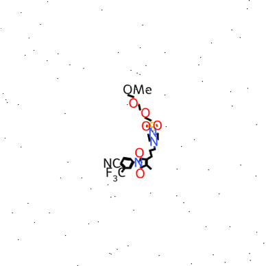 COCCOCCOCCS(=O)(=O)N1CCN(CCCC2=C(C)C(=O)N(c3ccc(C#N)c(C(F)(F)F)c3)C2=O)CC1